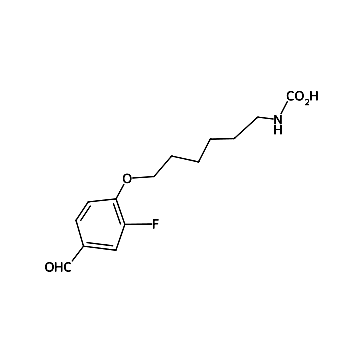 O=Cc1ccc(OCCCCCCNC(=O)O)c(F)c1